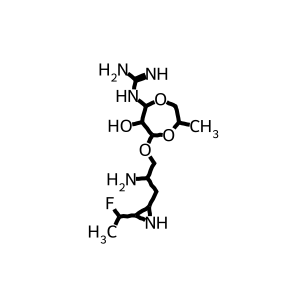 CC1COC(NC(=N)N)C(O)C(OCC(N)CC2NC2C(C)F)O1